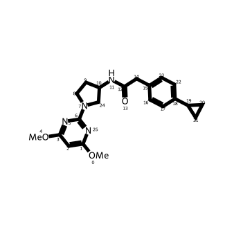 COc1cc(OC)nc(N2CCC(NC(=O)Cc3ccc(C4CC4)cc3)C2)n1